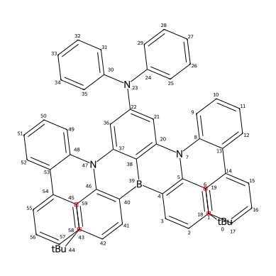 CC(C)(C)c1ccc2c(c1)N(c1ccccc1-c1ccccc1)c1cc(N(c3ccccc3)c3ccccc3)cc3c1B2c1ccc(C(C)(C)C)cc1N3c1ccccc1-c1ccccc1